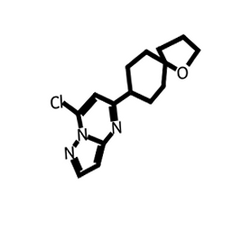 Clc1cc(C2CCC3(CCCO3)CC2)nc2ccnn12